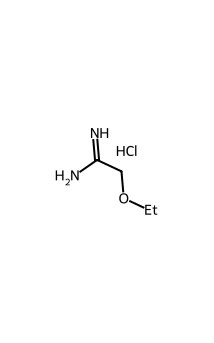 CCOCC(=N)N.Cl